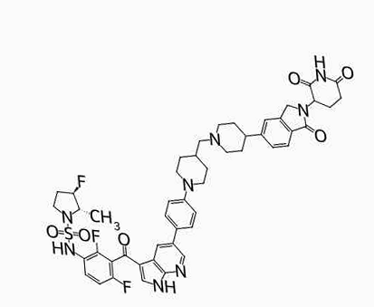 C[C@H]1[C@H](F)CCN1S(=O)(=O)Nc1ccc(F)c(C(=O)c2c[nH]c3ncc(-c4ccc(N5CCC(CN6CCC(c7ccc8c(c7)CN(C7CCC(=O)NC7=O)C8=O)CC6)CC5)cc4)cc23)c1F